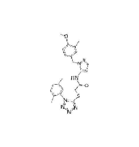 COc1ccc(Cn2nccc2NC(=O)CSc2nnnn2-c2cc(C)ccc2C)cc1C